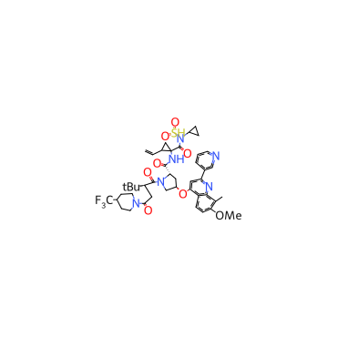 C=CC1CC1(NC(=O)[C@@H]1C[C@@H](Oc2cc(-c3cccnc3)nc3c(C)c(OC)ccc23)CN1C(=O)[C@@H](CC(=O)N1CCC(C(F)(F)F)CC1)C(C)(C)C)C(=O)N(C1CC1)[SH](=O)=O